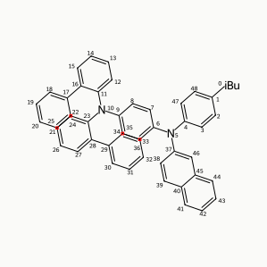 CCC(C)c1ccc(N(c2ccc(N(c3ccccc3-c3ccccc3)c3ccccc3-c3ccccc3)cc2)c2ccc3ccccc3c2)cc1